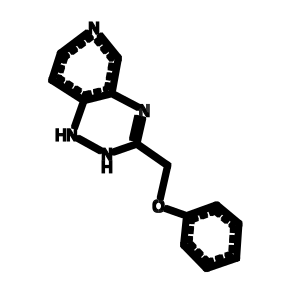 c1ccc(OCC2=Nc3cnccc3NN2)cc1